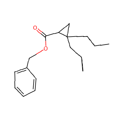 CCCC1(CCC)CC1C(=O)OCc1ccccc1